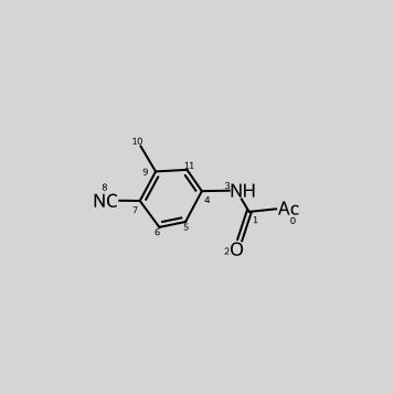 CC(=O)C(=O)Nc1ccc(C#N)c(C)c1